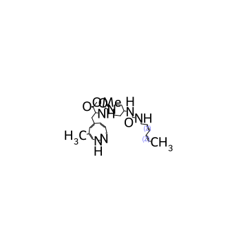 C/C=C\C=C/CNC(=O)NC1CCN(C(=O)NC(Cc2cccn[nH]cc(C)c2)C(=O)OC)CC1